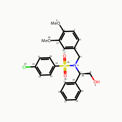 COc1ccc(CN([C@@H](CO)c2ccccc2)S(=O)(=O)c2ccc(Cl)cc2)cc1OC